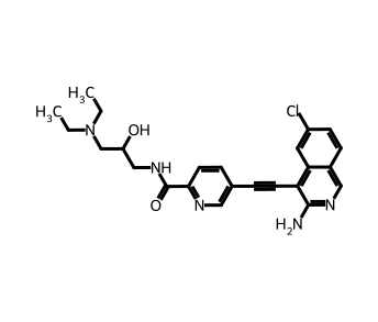 CCN(CC)CC(O)CNC(=O)c1ccc(C#Cc2c(N)ncc3ccc(Cl)cc23)cn1